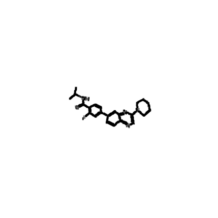 CC(C)NC(=O)c1ccc(-c2ccc3ncc(N4CCCCC4)nc3c2)cc1F